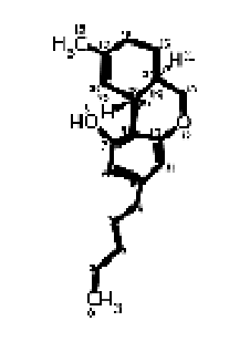 CCCCCc1cc(O)c2c(c1)OC[C@@H]1CCC(C)=C[C@@H]21